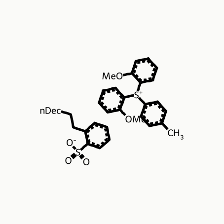 CCCCCCCCCCCCc1ccccc1S(=O)(=O)[O-].COc1ccccc1[S+](c1ccc(C)cc1)c1ccccc1OC